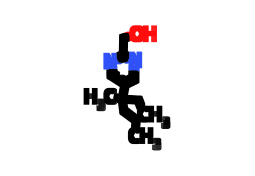 CCCC(C)(CC)c1cnc(CO)nc1